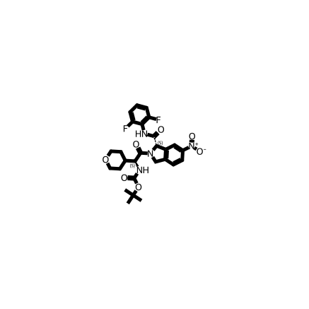 CC(C)(C)OC(=O)N[C@H](C(=O)N1Cc2ccc([N+](=O)[O-])cc2[C@H]1C(=O)Nc1c(F)cccc1F)C1CCOCC1